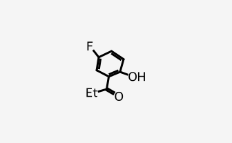 CCC(=O)c1cc(F)ccc1O